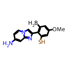 Bc1cc(OC)cc(S)c1-c1cn2ccc(N)cc2n1